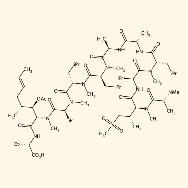 C/C=C/C[C@@H](C)[C@@H](OC(C)=O)[C@@H](C(=O)N[C@@H](CC)C(=O)O)N(C)C(=O)[C@H](C(C)C)N(C)C(=O)[C@H](CC(C)C)N(C)C(=O)[C@H](CC(C)C)N(C)C(=O)[C@@H](C)NC(=O)[C@H](C)NC(=O)[C@H](CC(C)C)N(C)C(=O)[C@@H](NC(=O)[C@H]([C@H](C)CS(C)(=O)=O)N(C)C(=O)[C@@H](C)NC)C(C)C